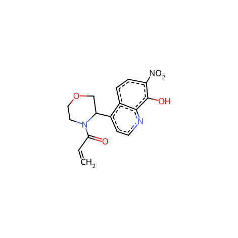 C=CC(=O)N1CCOCC1c1ccnc2c(O)c([N+](=O)[O-])ccc12